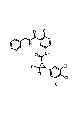 O=C(NCc1cccnc1)c1cc(NC(=O)[C@H]2[C@H](c3cc(Cl)c(Cl)c(Cl)c3)C2(Cl)Cl)ccc1Cl